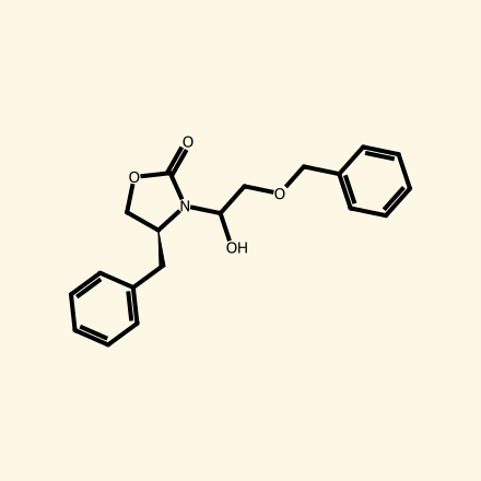 O=C1OC[C@H](Cc2ccccc2)N1C(O)COCc1ccccc1